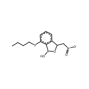 CCCCSc1cccc2c1B(O)OC2C[N+](=O)[O-]